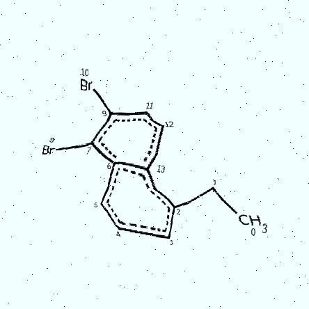 C[CH]c1cccc2c(Br)c(Br)ccc12